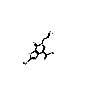 C=CCn1cc(C(=O)O)c2cc(C)[nH]c2c1=O